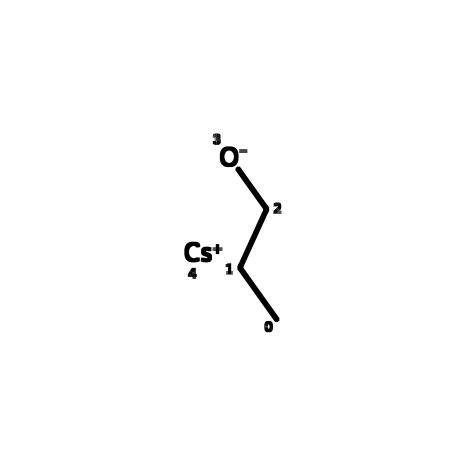 CCC[O-].[Cs+]